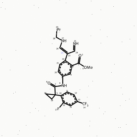 COC(=O)c1cc(NC(=O)C2(c3ccc(C(F)(F)F)cc3F)CC2)ccc1/C(C=N)=C/NCC(C)C